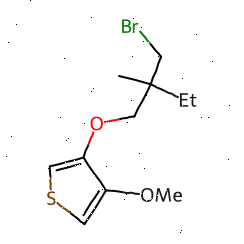 CCC(C)(CBr)COc1cscc1OC